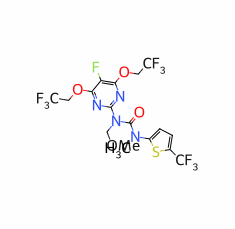 COCN(C(=O)N(C)c1ccc(C(F)(F)F)s1)c1nc(OCC(F)(F)F)c(F)c(OCC(F)(F)F)n1